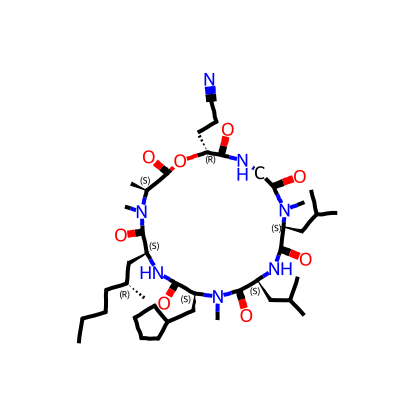 CCCC[C@@H](C)C[C@@H]1NC(=O)[C@H](CC2CCCC2)N(C)C(=O)[C@H](CC(C)C)NC(=O)[C@H](CC(C)C)N(C)C(=O)CNC(=O)[C@@H](CCC#N)OC(=O)[C@H](C)N(C)C1=O